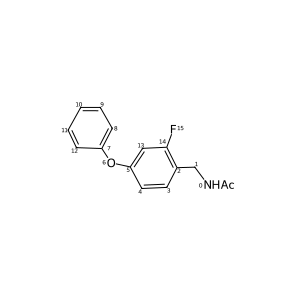 CC(=O)NCc1ccc(Oc2ccccc2)cc1F